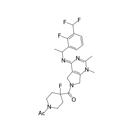 CC(=O)N1CCC(F)(C(=O)N2Cc3c(n(C)c(C)nc3=NC(C)c3cccc(C(F)F)c3F)C2)CC1